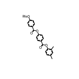 COc1ccc(C(=O)Oc2ccc(C(=O)Oc3ccc(C)cc3C)cc2)cc1